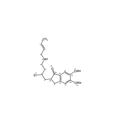 C/C=C/CNCCC(CC)CC1Cc2cc(OC)c(OC)cc2C1=O